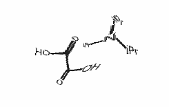 CC(C)N(C(C)C)C(C)C.O=C(O)C(=O)O